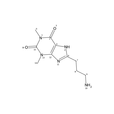 Cn1c(=O)c2[nH]c(CCCN)nc2n(C)c1=O